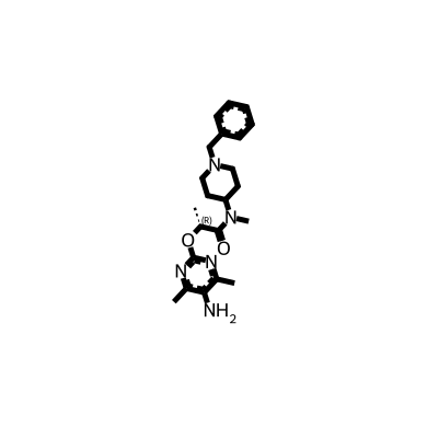 Cc1nc(O[C@H](C)C(=O)N(C)C2CCN(Cc3ccccc3)CC2)nc(C)c1N